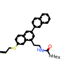 CC=CCSc1ccc2cc(-c3ccc4ccccc4c3)cc(CCNC(=O)CCCCCC)c2c1